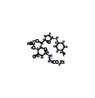 CCCCOc1c(C(=O)c2ccc(Cc3ccc(F)cc3)o2)oc(/C=C/C(=O)OCC)cc1=O